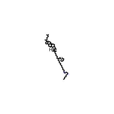 C=C(CC1CCC2(C)C(=CCC3C2CCC2(C)C(C(C)CCCC(C)C)CCC32)C1)NC(C)C(=C)CCCCCC(CCCCCCCCCC/C=C\C/C=C\CCCCC)CN1CCCCC1